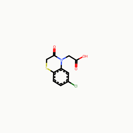 O=C(O)CN1C(=O)CSc2ccc(Cl)cc21